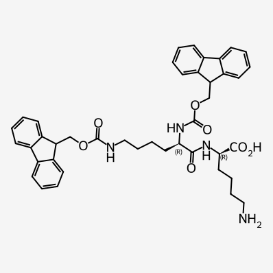 NCCCC[C@@H](NC(=O)[C@@H](CCCCNC(=O)OCC1c2ccccc2-c2ccccc21)NC(=O)OCC1c2ccccc2-c2ccccc21)C(=O)O